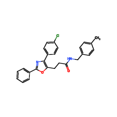 Cc1ccc(CNC(=O)CCc2oc(-c3ccccc3)nc2-c2ccc(Cl)cc2)cc1